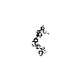 Cc1cc(Oc2nccn3c(-c4cn(C)nc4C(F)(F)F)cnc23)ccc1C(=O)N1CCN(C(=O)[C@@H]2CCOC[C@@H]2O)CC1